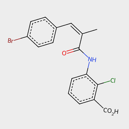 CC(=Cc1ccc(Br)cc1)C(=O)Nc1cccc(C(=O)O)c1Cl